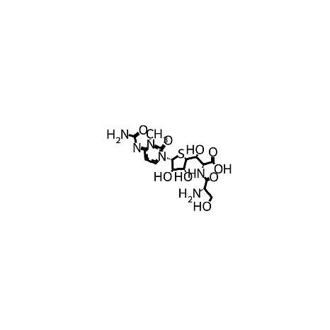 Cn1c(=O)n([C@@H]2S[C@H]([C@@H](O)[C@@H](NC(=O)[C@@H](N)CO)C(=O)O)[C@H](O)[C@H]2O)cc/c1=N/C(N)=O